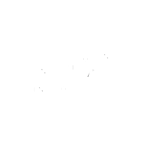 Cc1onc(N)c1Oc1cccc([C@@H]2CNCCO2)c1